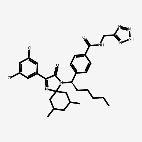 CCCCC[C@H](c1ccc(C(=O)NCc2nn[nH]n2)cc1)N1C(=O)C(c2cc(Cl)cc(Cl)c2)=NC12CC(C)CC(C)C2